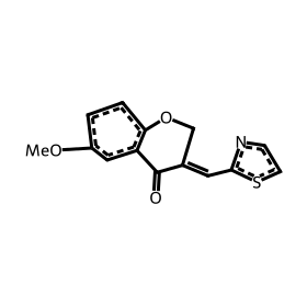 COc1ccc2c(c1)C(=O)C(=Cc1nccs1)CO2